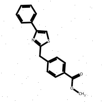 COC(=O)c1ccc(Cc2nc(-c3ccccc3)cs2)cc1